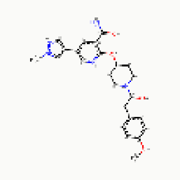 Cn1cc(-c2cnc(OC3CCN(C(=O)Cc4ccc(OC(F)(F)F)cc4)CC3)c(C(N)=O)c2)cn1